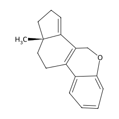 C[C@@]12CCC=C1C1=C(CC2)c2ccccc2OC1